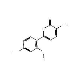 CCCOc1cc(SC)ccc1-c1ccc(C#N)c(=O)[nH]1